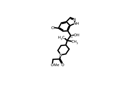 COCC(=O)N1CCC(C(C)(C)[C@H](O)c2cc(Cl)cc3cn[nH]c23)CC1